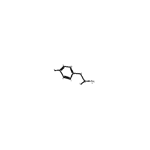 CC(=O)C(C)Cc1ccc(C)cc1